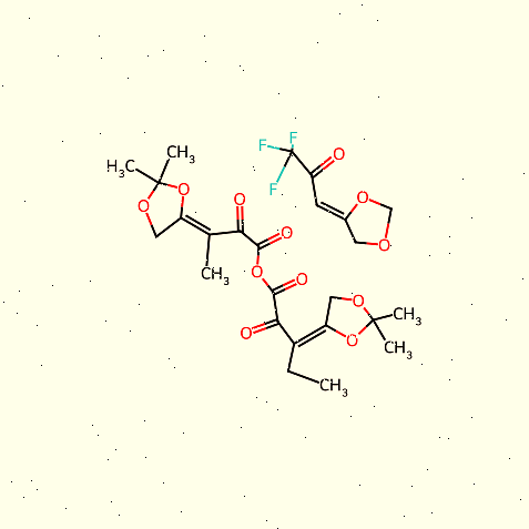 CCC(C(=O)C(=O)OC(=O)C(=O)C(C)=C1COC(C)(C)O1)=C1COC(C)(C)O1.O=C(C=C1COCO1)C(F)(F)F